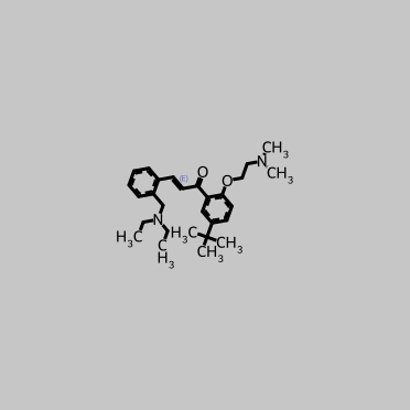 CCN(CC)Cc1ccccc1/C=C/C(=O)c1cc(C(C)(C)C)ccc1OCCN(C)C